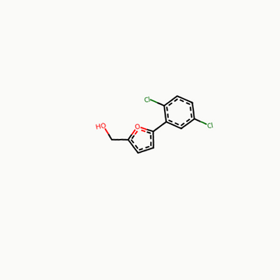 OCc1ccc(-c2cc(Cl)ccc2Cl)o1